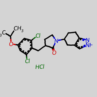 CC(C)Oc1cc(Cl)c(CC2CCN(C3CCc4n[nH]cc4C3)C2=O)c(Cl)c1.Cl